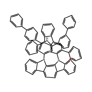 c1ccc(-c2ccc(C3=NC(n4c5ccccc5c5ccc6c7ccccc7n(-c7cc8c(cc7-c7ccccc7)c7ccccc7n8-c7ccccc7)c6c54)=NC(c4cccc(-c5ccccc5)c4)N3)cc2)cc1